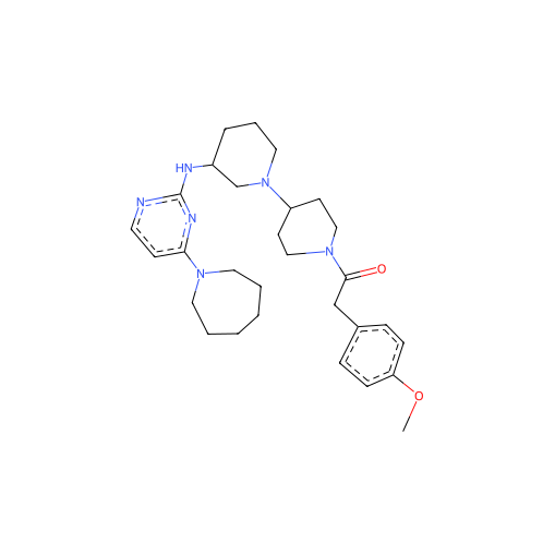 COc1ccc(CC(=O)N2CCC(N3CCCC(Nc4nccc(N5CCCCCC5)n4)C3)CC2)cc1